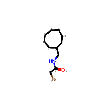 O=C(CBr)NCC1CCCCCCC1